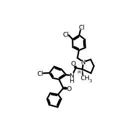 C[C@]1(C(=O)Nc2ccc(Cl)cc2C(=O)c2ccccc2)CCCN1Cc1ccc(Cl)c(Cl)c1